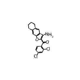 Nc1c(C(=O)c2ccc(Cl)cc2Cl)oc2cc3c(cc12)CCCC3